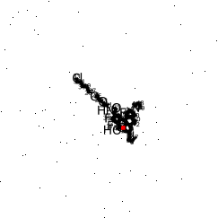 CC1(C)C2=CC(N3CCC3)C=CC2=C(c2c(F)c(C(=O)NCCOCCOCCCCCCCl)c(F)c(F)c2C(=O)O)c2ccc(N3CCC3)cc21